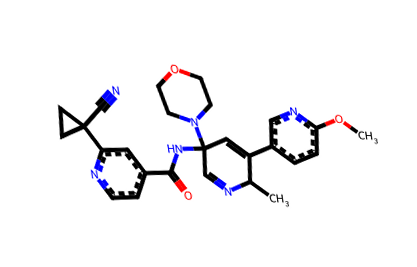 COc1ccc(C2=CC(NC(=O)c3ccnc(C4(C#N)CC4)c3)(N3CCOCC3)C=NC2C)cn1